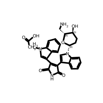 CC(=O)O.Cn1cc(C2=C(c3cn([C@H]4CC[C@H](O)[C@@H](CN)O4)c4ccccc34)C(=O)NC2=O)c2ccccc21